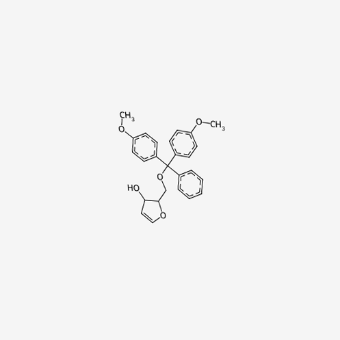 COc1ccc(C(OCC2OC=CC2O)(c2ccccc2)c2ccc(OC)cc2)cc1